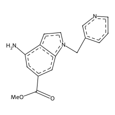 COC(=O)c1cc(N)c2ccn(Cc3cccnc3)c2c1